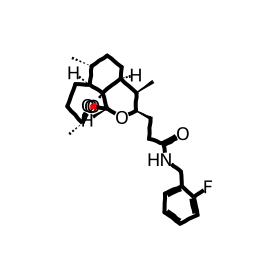 C[C@H]1[C@@H](CCC(=O)NCc2ccccc2F)O[C@@H]2O[C@]3(C)CC[C@H]4[C@H](C)CC[C@@H]1[C@@]24OO3